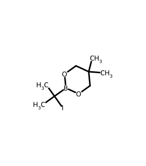 CC1(C)COB(C(C)(C)I)OC1